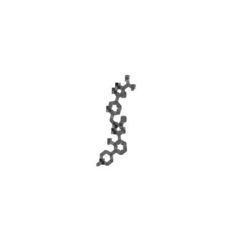 CN1CCC(c2cccc(-c3nn(Cc4ccc(-c5nnc(C(F)F)o5)cn4)c(=O)s3)c2F)CC1